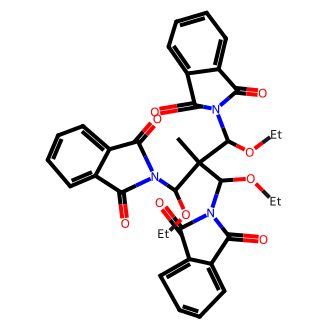 CCOC(N1C(=O)c2ccccc2C1=O)C(C)(C(OCC)N1C(=O)c2ccccc2C1=O)C(OCC)N1C(=O)c2ccccc2C1=O